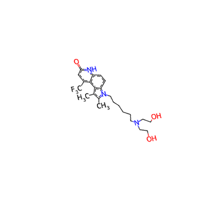 Cc1c(C)n(CCCCCCN(CCO)CCO)c2ccc3[nH]c(=O)cc(C(F)(F)F)c3c12